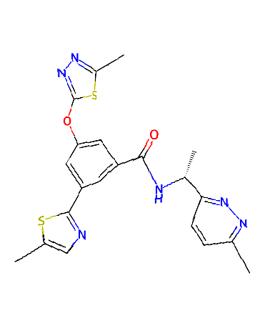 Cc1ccc([C@@H](C)NC(=O)c2cc(Oc3nnc(C)s3)cc(-c3ncc(C)s3)c2)nn1